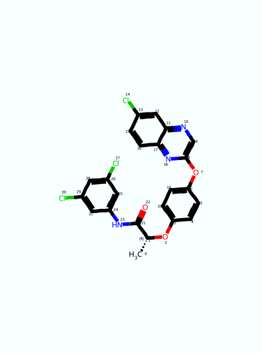 C[C@@H](Oc1ccc(Oc2cnc3cc(Cl)ccc3n2)cc1)C(=O)Nc1cc(Cl)cc(Cl)c1